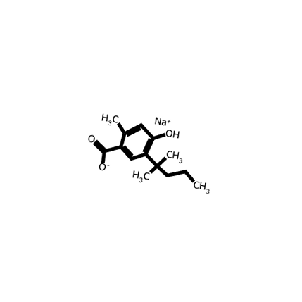 CCCC(C)(C)c1cc(C(=O)[O-])c(C)cc1O.[Na+]